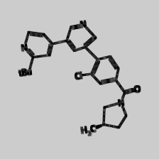 C[C@@H]1CCN(C(=O)c2ccc(-c3cncc(-c4ccnc(C(C)(C)C)c4)c3)c(Cl)c2)C1